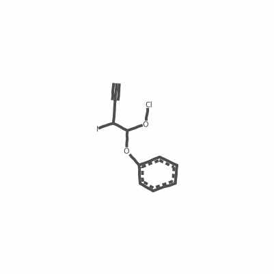 C#CC(I)C(OCl)Oc1ccccc1